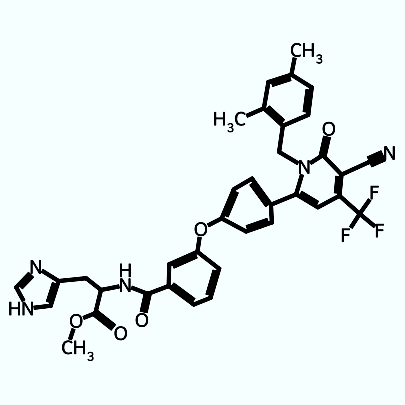 COC(=O)C(Cc1c[nH]cn1)NC(=O)c1cccc(Oc2ccc(-c3cc(C(F)(F)F)c(C#N)c(=O)n3Cc3ccc(C)cc3C)cc2)c1